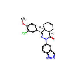 COc1ccc(C2=NN(c3ccc4[nH]ncc4c3)C(=O)[C@@H]3CC=CC[C@H]23)cc1Cl